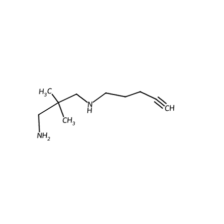 C#CCCCNCC(C)(C)CN